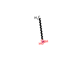 CCCCCCCCCCCCCCCCCCOP(O)O